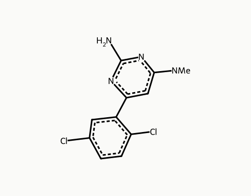 CNc1cc(-c2cc(Cl)ccc2Cl)nc(N)n1